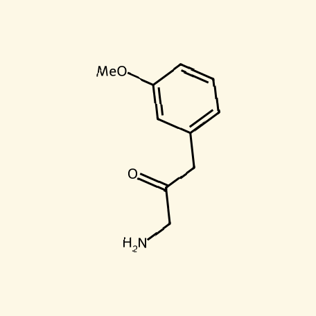 COc1cccc(CC(=O)CN)c1